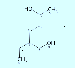 CCC(CO)CCC(C)O